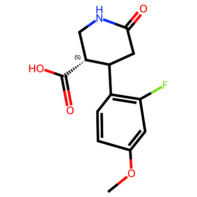 COc1ccc(C2CC(=O)NC[C@H]2C(=O)O)c(F)c1